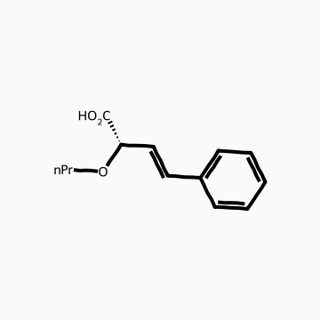 CCCO[C@@H](/C=C/c1ccccc1)C(=O)O